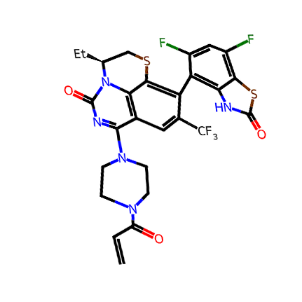 C=CC(=O)N1CCN(c2nc(=O)n3c4c(c(-c5c(F)cc(F)c6sc(=O)[nH]c56)c(C(F)(F)F)cc24)SC[C@@H]3CC)CC1